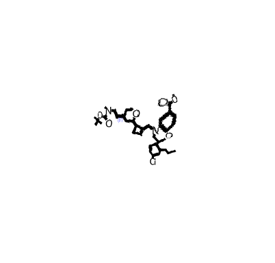 CCCc1cc(Cl)ccc1C1COc2ccc(C(=O)OC)cc2N(CC2CCC2C2C/C(=C/CN(C)C(=O)OC(C)(C)C)CCO2)C1